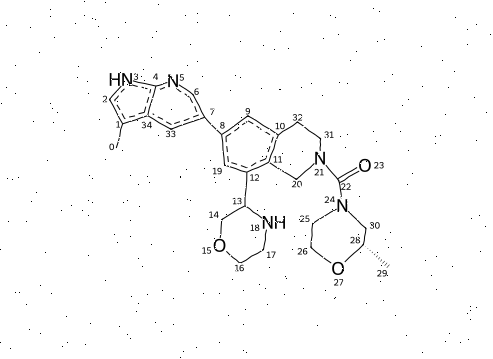 Cc1c[nH]c2ncc(-c3cc4c(c(C5COCCN5)c3)CN(C(=O)N3CCO[C@@H](C)C3)CC4)cc12